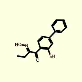 CCC(=NO)C(=O)c1ccc(-c2ccccc2)cc1S